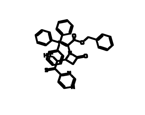 CC(C(=S)c1ccncn1)C1CC(=O)N1C(C(=O)OCc1ccccc1)=P(c1ccccc1)(c1ccccc1)c1ccccc1